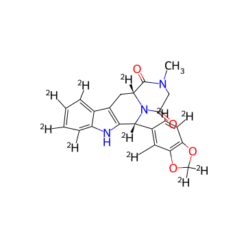 [2H]c1c([2H])c([C@]2([2H])c3[nH]c4c([2H])c([2H])c([2H])c([2H])c4c3C[C@]3([2H])C(=O)N(C)CC(=O)N23)c([2H])c2c1OC([2H])([2H])O2